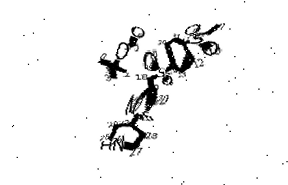 CC(C)(C)OC=O.CS(=O)(=O)c1ccc(S(=O)(=O)Cc2csc(C3CCNCC3)n2)cc1